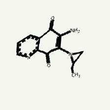 CC1CN1C1=C(N)C(=O)c2cccnc2C1=O